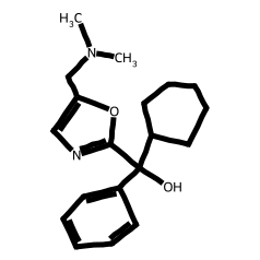 CN(C)Cc1cnc(C(O)(c2ccccc2)C2CCCCC2)o1